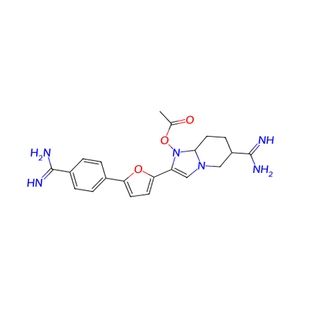 CC(=O)ON1C(c2ccc(-c3ccc(C(=N)N)cc3)o2)=CN2CC(C(=N)N)CCC21